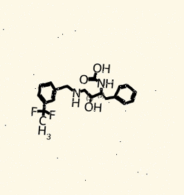 CC(F)(F)c1cccc(CNC[C@H](O)[C@H](Cc2ccccc2)NC(=O)O)c1